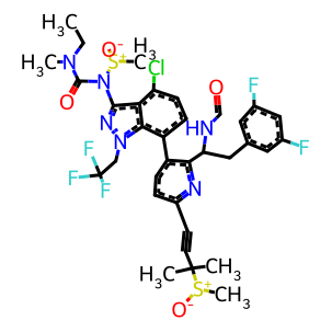 CCN(C)C(=O)N(c1nn(CC(F)(F)F)c2c(-c3ccc(C#CC(C)(C)[S+](C)[O-])nc3C(Cc3cc(F)cc(F)c3)NC=O)ccc(Cl)c12)[S+](C)[O-]